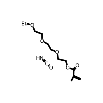 C=C(C)C(=O)OCCOCCOCCOCC.N=C=O